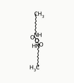 CCCCCCCCCCCCNC(=O)c1ccc(C(=O)NCCCCCCCCCCCC)cc1